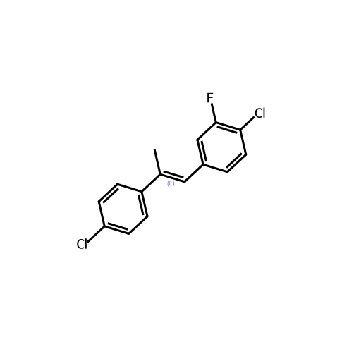 C/C(=C\c1ccc(Cl)c(F)c1)c1ccc(Cl)cc1